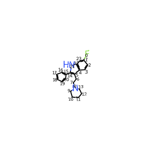 Fc1ccc2c(CCN3CCCCC3)c(-c3ccccc3)[nH]c2c1